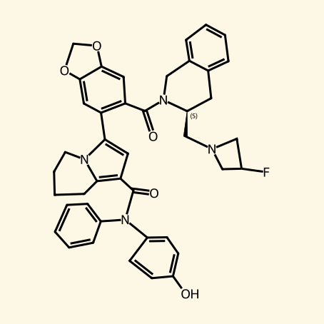 O=C(c1cc(-c2cc3c(cc2C(=O)N2Cc4ccccc4C[C@H]2CN2CC(F)C2)OCO3)n2c1CCCC2)N(c1ccccc1)c1ccc(O)cc1